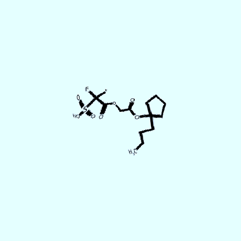 CCCCC1(OC(=O)COC(=O)C(F)(F)S(=O)(=O)O)CCCC1